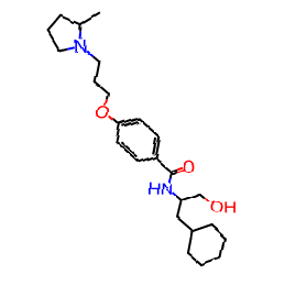 CC1CCCN1CCCOc1ccc(C(=O)NC(CO)CC2CCCCC2)cc1